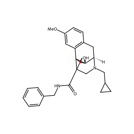 COc1ccc2c(c1)C13CCN(CC4CC4)[C@H](C2)[C@]1(O)CC(C(=O)NCc1ccccc1)C3